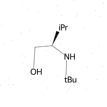 CC(C)[C@H](CO)NC(C)(C)C